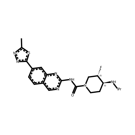 Cc1nnc(-c2ccc3cnc(NC(=O)N4CC[C@H](NC(C)C)[C@@H](F)C4)nc3c2)s1